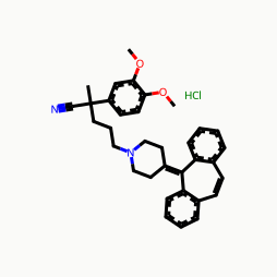 COc1ccc(C(C)(C#N)CCCN2CCC(=C3c4ccccc4C=Cc4ccccc43)CC2)cc1OC.Cl